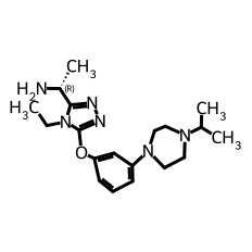 CCn1c(Oc2cccc(N3CCN(C(C)C)CC3)c2)nnc1[C@@H](C)N